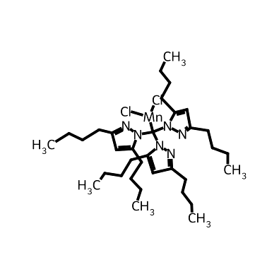 CCCCc1cc(CCCC)n([C](n2nc(CCCC)cc2CCCC)(n2nc(CCCC)cc2CCCC)[Mn]([Cl])[Cl])n1